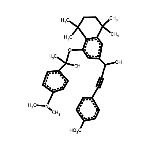 CN(C)c1ccc(C(C)(C)Oc2cc(C(O)C#Cc3ccc(C(=O)O)cc3)cc3c2C(C)(C)CCC3(C)C)cc1